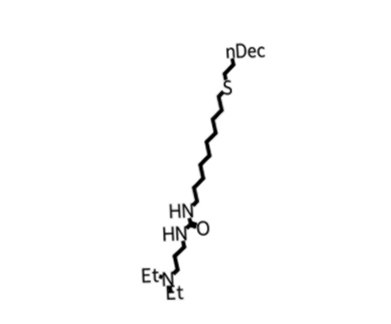 CCCCCCCCCCCCSCCCCCCCCCCNC(=O)NCCCN(CC)CC